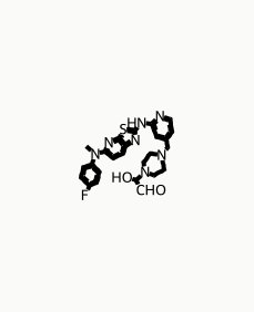 CN(c1ccc(F)cc1)c1ccc2nc(Nc3cc(CN4CCN(C(O)C=O)CC4)ccn3)sc2n1